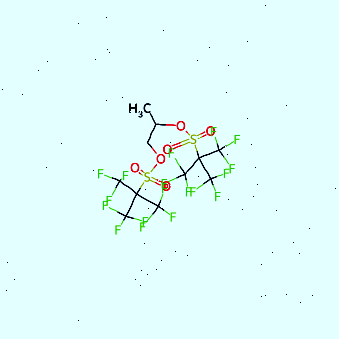 CC(COS(=O)(=O)C(C(F)(F)F)(C(F)(F)F)C(F)(F)F)OS(=O)(=O)C(C(F)(F)F)(C(F)(F)F)C(F)(F)F